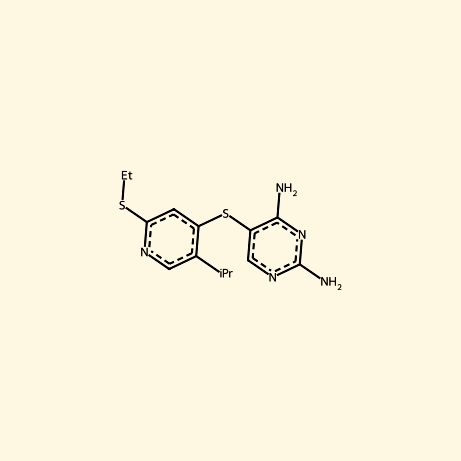 CCSc1cc(Sc2cnc(N)nc2N)c(C(C)C)cn1